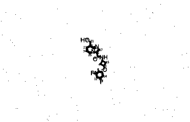 O=C(NC1CC(Oc2cc(F)cc(F)c2)C1)c1cnc2c(CO)cccn12